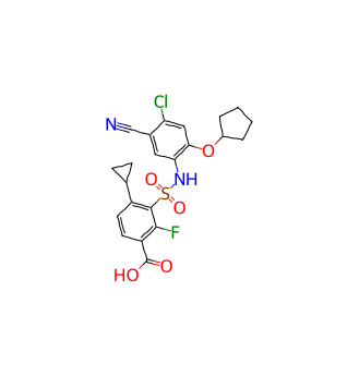 N#Cc1cc(NS(=O)(=O)c2c(C3CC3)ccc(C(=O)O)c2F)c(OC2CCCC2)cc1Cl